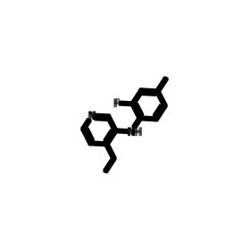 CCc1ccncc1Nc1ccc(C)cc1F